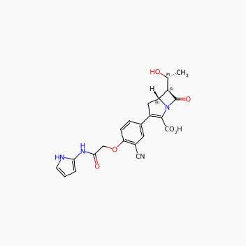 C[C@@H](O)[C@H]1C(=O)N2C(C(=O)O)=C(c3ccc(OCC(=O)Nc4ccc[nH]4)c(C#N)c3)C[C@H]12